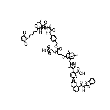 Cc1c(-c2ccc(N3CCc4cccc(C(=O)Nc5nc6ccccc6s5)c4C3)nc2C(=O)O)cnn1CC12CC3(C)CC(C)(C1)CC(OCCN(CCS(=O)(=O)O)C(=O)OCc1ccc(NC(=O)[C@H](C)NC(=O)C(NC(=O)CCCCCN4C(=O)C=CC4=O)C(C)C)cc1)(C3)C2